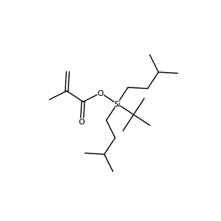 C=C(C)C(=O)O[Si](CCC(C)C)(CCC(C)C)C(C)(C)C